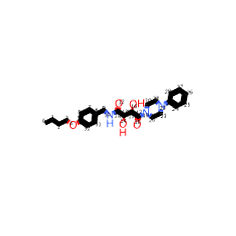 CCCCOc1ccc(CNC(=O)[C@H](O)[C@@H](O)C(=O)N2CCN(c3ccccc3)CC2)cc1